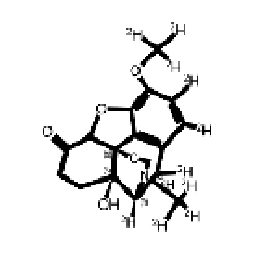 [2H]c1c([2H])c2c3c(c1OC([2H])([2H])[2H])OC1C(=O)CC[C@]4(O)[C@@]31CCN(C([2H])([2H])[2H])[C@]4([2H])C2([2H])[2H]